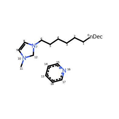 CCCCCCCCCCCCCCCCN1C=CN(C)C1.c1ccncc1